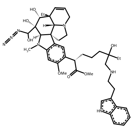 CCC(O)(CCC[C@H](C(=O)OC)c1cc2c(cc1OC)N(C)[C@@H]1[C@]23CCN2CC=C[C@@](CC)([C@@H](O)[C@]1(O)C(O)N=[N+]=[N-])[C@H]23)CNCCc1c[nH]c2ccccc12